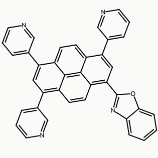 c1cncc(-c2cc(-c3cccnc3)c3ccc4c(-c5nc6ccccc6o5)cc(-c5cccnc5)c5ccc2c3c54)c1